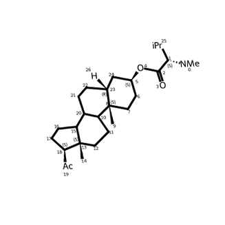 CN[C@H](C(=O)O[C@H]1CC[C@]2(C)C3CC[C@@]4(C)C(CC[C@@H]4C(C)=O)C3CC[C@@H]2C1)C(C)C